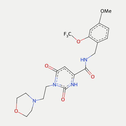 COc1ccc(CNC(=O)c2cc(=O)n(CCN3CCOCC3)c(=O)[nH]2)c(OC(F)(F)F)c1